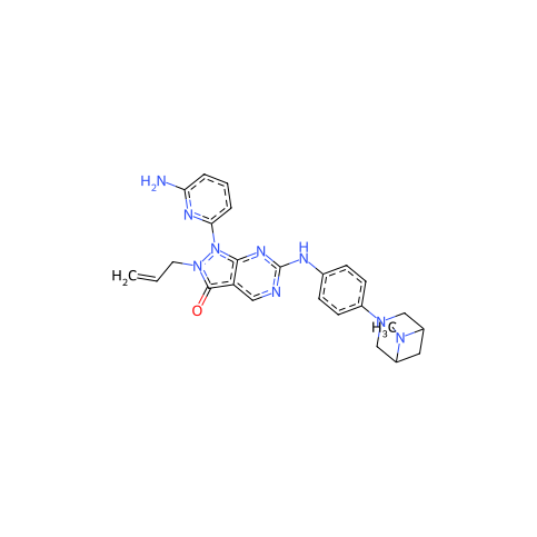 C=CCn1c(=O)c2cnc(Nc3ccc(N4CC5CC(C4)N5C)cc3)nc2n1-c1cccc(N)n1